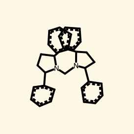 c1ccc(C2CCC(c3ccccc3)N2CN2C(c3ccccc3)CCC2c2ccccc2)cc1